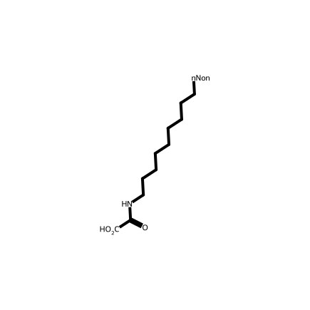 CCCCCCCCCCCCCCCCCCNC(=O)C(=O)O